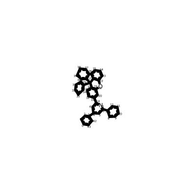 c1ccc(-c2cc(-c3ccccc3)nc(-c3ccc4c(c3)Oc3ccccc3C4(c3ccccc3)c3ccccc3)c2)cc1